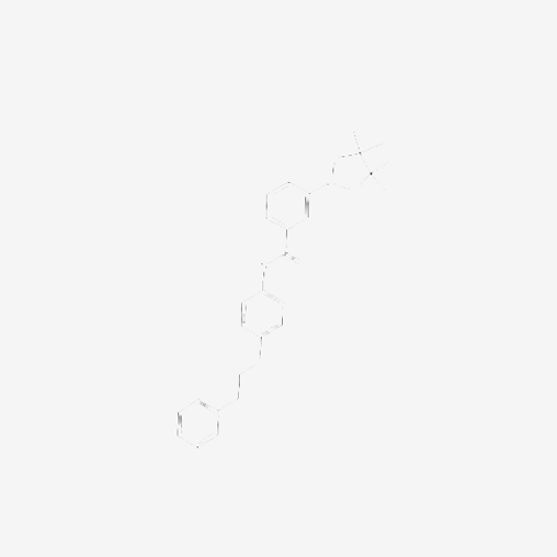 CC1(C)OB(c2cccc(C(=O)Nc3ccc(OCCc4ccccc4)cc3)c2)OC1(C)C